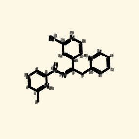 Cc1cncc(NN=C(Cc2ccccn2)c2ccnc(Br)c2)n1